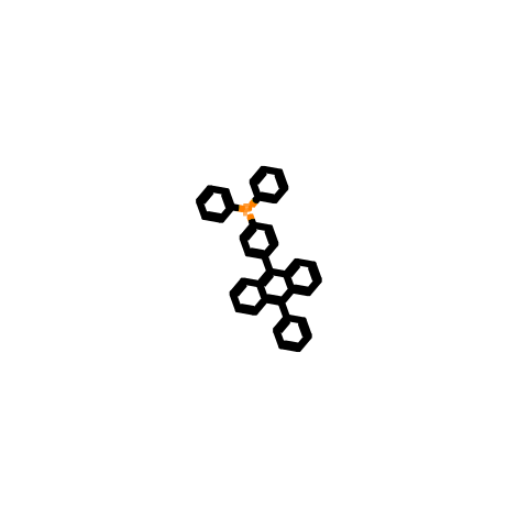 c1ccc(-c2c3ccccc3c(-c3ccc(P(c4ccccc4)c4ccccc4)cc3)c3ccccc23)cc1